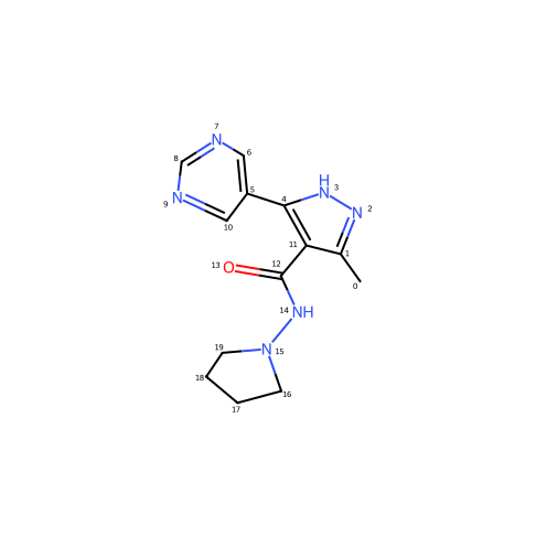 Cc1n[nH]c(-c2cncnc2)c1C(=O)NN1CCCC1